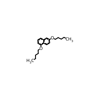 CCCCCOc1ccc2c(OCCCCC)cccc2c1